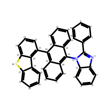 c1ccc(-c2nc3ccccc3n2-c2c3ccccc3c(-c3cccc4sc5ccccc5c34)c3ccccc23)cc1